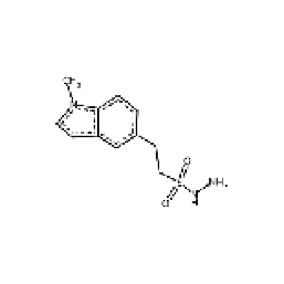 Cn1ccc2cc(CCS(=O)(=O)NN)ccc21